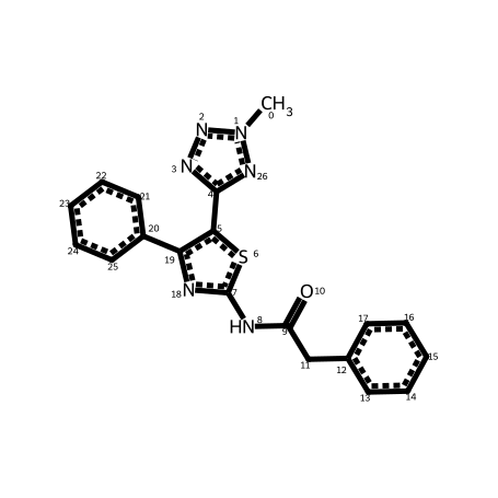 Cn1nnc(-c2sc(NC(=O)Cc3ccccc3)nc2-c2ccccc2)n1